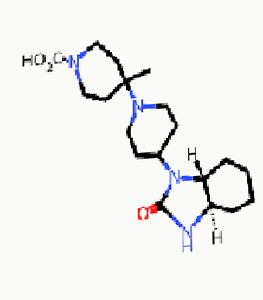 CC1(N2CCC(N3C(=O)N[C@@H]4CCCC[C@H]43)CC2)CCN(C(=O)O)CC1